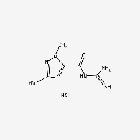 Cl.Cn1nc(C(C)(C)C)cc1C(=O)NC(=N)N